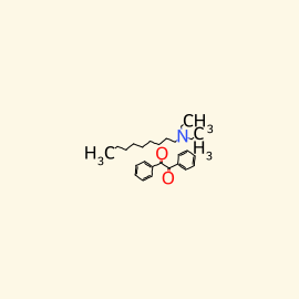 CCCCCCCCCN(CC)CC.O=C(C(=O)c1ccccc1)c1ccccc1